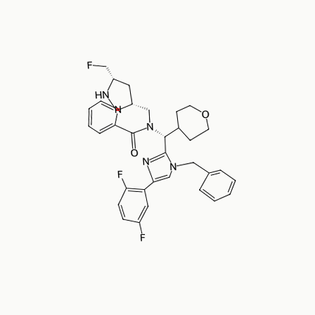 O=C(c1ccccn1)N(C[C@@H]1CN[C@H](CF)C1)[C@@H](c1nc(-c2cc(F)ccc2F)cn1Cc1ccccc1)C1CCOCC1